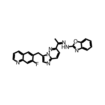 C/C(=N/Nc1nc2ccccc2o1)c1ccc2ncc(Cc3cc4cccnc4cc3F)n2n1